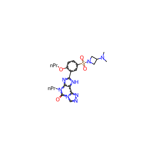 CCCOc1ccc(S(=O)(=O)N2CC(N(C)C)C2)cc1-c1nc2c([nH]1)c1nncn1c(=O)n2CCC